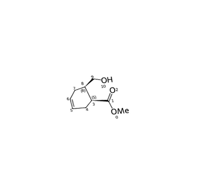 COC(=O)[C@H]1CC=CC[C@H]1CO